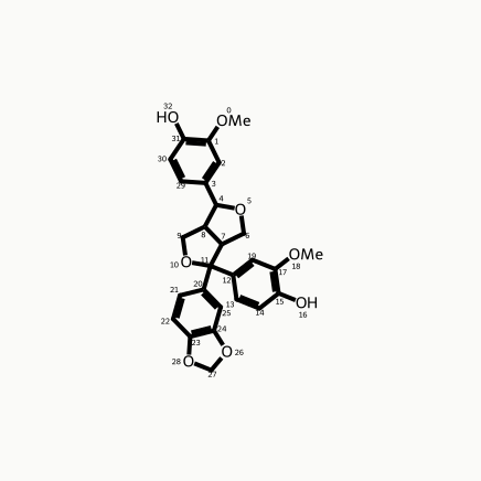 COc1cc(C2OCC3C2COC3(c2ccc(O)c(OC)c2)c2ccc3c(c2)OCO3)ccc1O